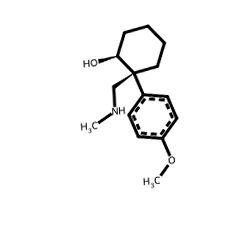 CNC[C@]1(c2ccc(OC)cc2)CCCC[C@@H]1O